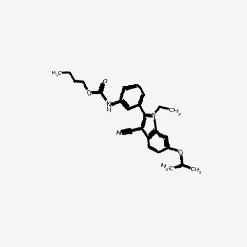 CCCCOC(=O)Nc1cccc(-c2c(C#N)c3ccc(OC(C)C)cc3n2CC)c1